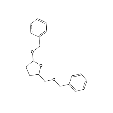 c1ccc(COCC2CCC(OCc3ccccc3)O2)cc1